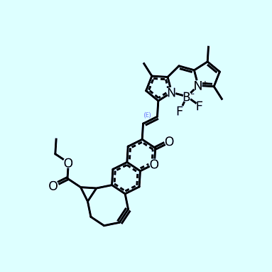 CCOC(=O)C1C2CCC#Cc3cc4oc(=O)c(/C=C/c5cc(C)c6n5[B-](F)(F)[N+]5=C(C)C=C(C)C5=C6)cc4cc3C21